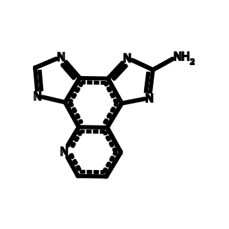 NC1=Nc2c(c3c(c4ncccc24)N=CN=3)=N1